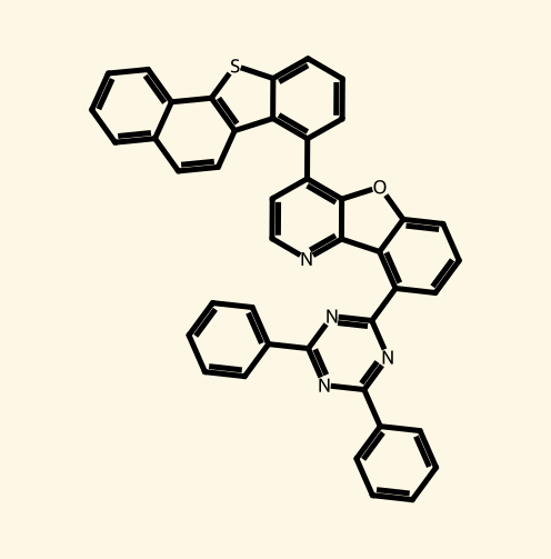 c1ccc(-c2nc(-c3ccccc3)nc(-c3cccc4oc5c(-c6cccc7sc8c9ccccc9ccc8c67)ccnc5c34)n2)cc1